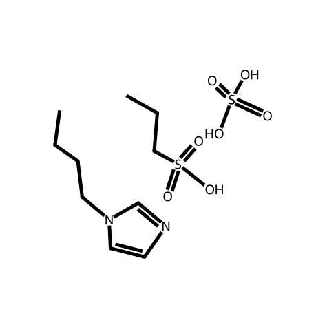 CCCCn1ccnc1.CCCS(=O)(=O)O.O=S(=O)(O)O